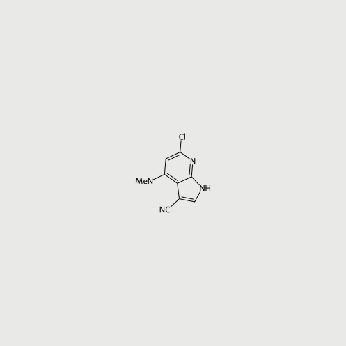 CNc1cc(Cl)nc2[nH]cc(C#N)c12